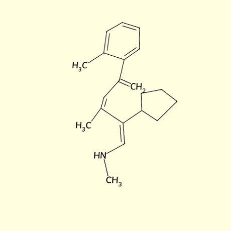 C=C(/C=C(C)\C(=C/NC)C1CCCC1)c1ccccc1C